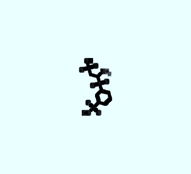 NC(CS(=O)(=O)O)S(=O)(=O)c1cccc(S(=O)(=O)O)c1